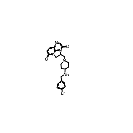 O=c1ccc2ncc(=O)n3c2n1CC3CN1CCC(NCc2ccc(Br)cc2)CC1